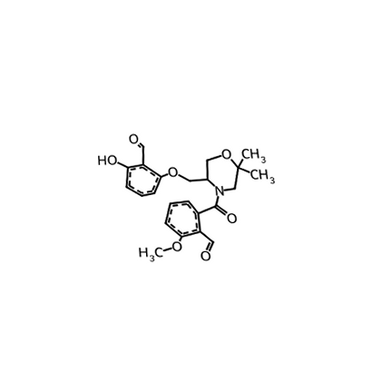 COc1cccc(C(=O)N2CC(C)(C)OCC2COc2cccc(O)c2C=O)c1C=O